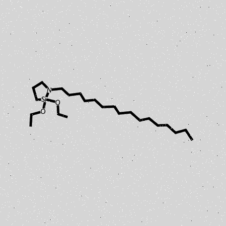 CCCCCCCCCCCCCCCCN1CCC[Si]1(OCC)OCC